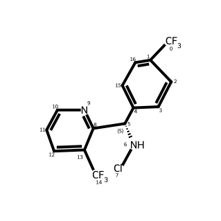 FC(F)(F)c1ccc([C@H](NCl)c2ncccc2C(F)(F)F)cc1